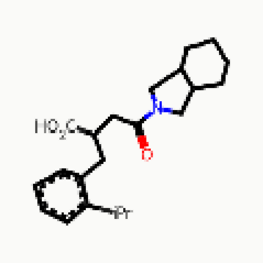 CC(C)c1ccccc1CC(CC(=O)N1CC2CCCCC2C1)C(=O)O